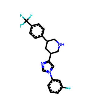 Fc1cccc(-n2cnc(C3CNCC(c4ccc(C(F)(F)F)cc4)C3)c2)c1